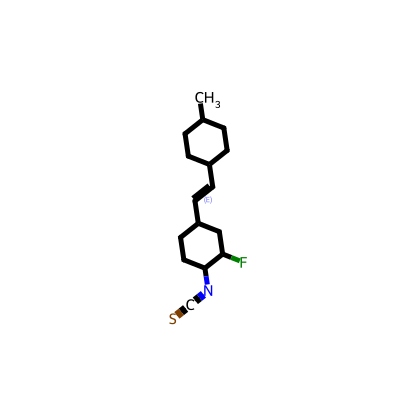 CC1CCC(/C=C/C2CCC(N=C=S)C(F)C2)CC1